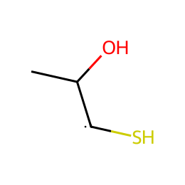 CC(O)[CH]S